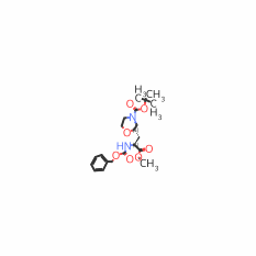 COC(=O)[C@H](C[C@H]1CN(C(=O)OC(C)(C)C)CCO1)NC(=O)OCc1ccccc1